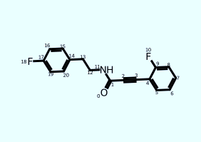 O=C(C#Cc1ccccc1F)NCCc1ccc(F)cc1